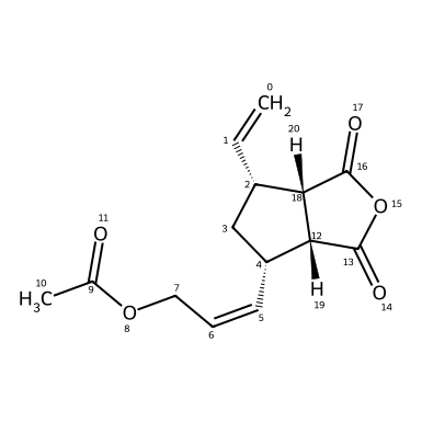 C=C[C@H]1C[C@@H](/C=C\COC(C)=O)[C@H]2C(=O)OC(=O)[C@H]21